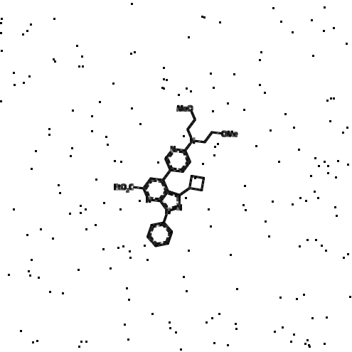 CCOC(=O)c1cc(-c2ccc(N(CCOC)CCOC)nc2)c2c(C3CCC3)nn(-c3ccccc3)c2n1